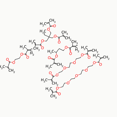 C=C(C)C(=O)OCC(CC)(COC(=O)C(=C)C)COC(=O)C(=C)C.C=C(C)C(=O)OCCC(C)OC(=O)C(=C)C.C=C(C)C(=O)OCCOC(=O)C(=C)C.C=C(C)C(=O)OCCOCCOCCOC(=O)C(=C)C.C=C(C)C(=O)OCCOCCOCCOCCOC(=O)C(=C)C